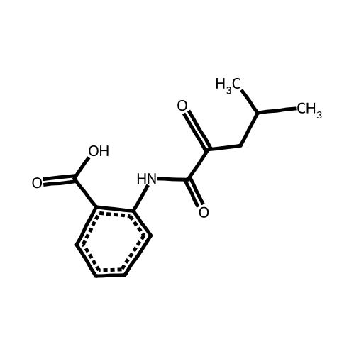 CC(C)CC(=O)C(=O)Nc1ccccc1C(=O)O